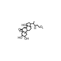 COCCNC(C)C1CC[C@@]2(O)C3=CC(=O)[C@@H]4C[C@@H](O)[C@@H](O)C[C@]4(C)C3CC[C@]12C